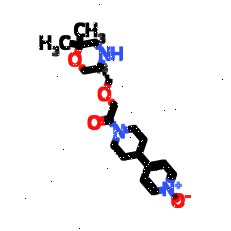 CC1(C)CN[C@H](COCC(=O)N2CCC(c3cc[n+]([O-])cc3)CC2)CO1